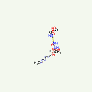 CC/C=C\C/C=C\C/C=C\C/C=C\C/C=C\CCCC(=O)OCC(C)(C)[C@@H](O)C(=O)NCCC(=O)NCCSSCCNC(=O)c1ccccc1OC(=O)c1ccccc1O